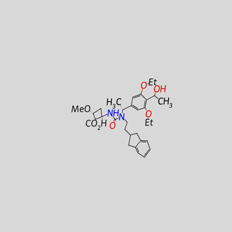 CCOc1cc([C@@H](C)N(CCC2Cc3ccccc3C2)C(=O)N[C@]2(C(=O)O)C[C@@H](OC)C2)cc(OCC)c1C(C)O